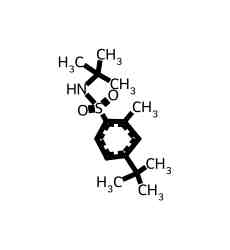 Cc1cc(C(C)(C)C)ccc1S(=O)(=O)NC(C)(C)C